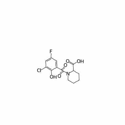 O=C(O)C1CCCCN1S(=O)(=O)c1cc(F)cc(Cl)c1O